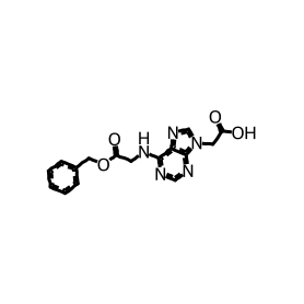 O=C(O)Cn1cnc2c(NCC(=O)OCc3ccccc3)ncnc21